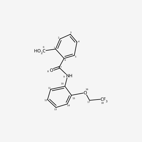 O=C(O)c1ccccc1C(=O)Nc1ccccc1OCC(F)(F)F